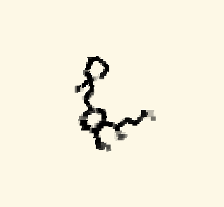 Cc1ccc(/C=C/C2(O)CCCCC2)cc1C(O)CCN